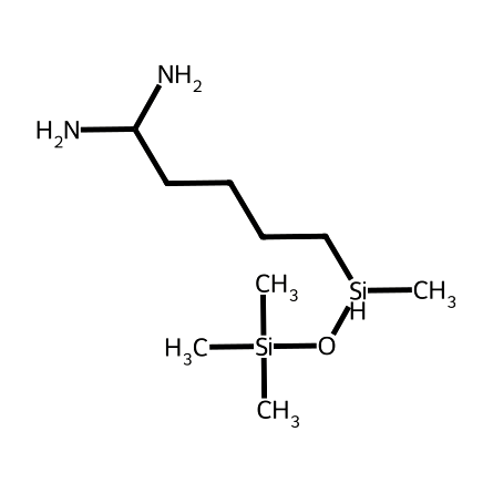 C[SiH](CCCCC(N)N)O[Si](C)(C)C